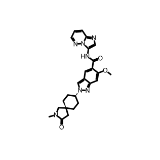 COc1cc2nn([C@H]3CC[C@@]4(CC3)CC(=O)N(C)C4)cc2cc1C(=O)Nc1cnc2cccnn12